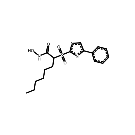 CCCCCCC(C(=O)NO)S(=O)(=O)c1nc(-c2ccccc2)cs1